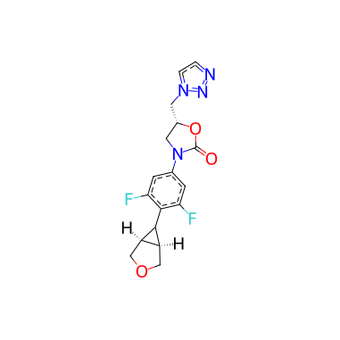 O=C1O[C@@H](Cn2ccnn2)CN1c1cc(F)c(C2[C@H]3COC[C@@H]23)c(F)c1